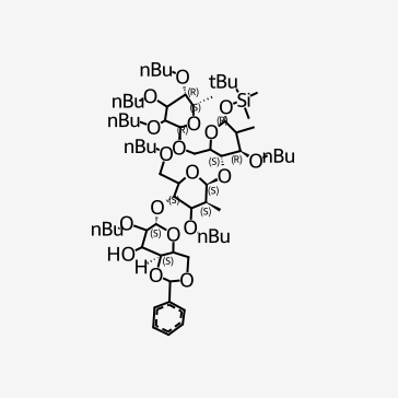 CCCCOCC1O[C@@H](O[C@@H]2C(CO[C@@H]3O[C@@H](C)[C@@H](OCCCC)C(OCCCC)C3OCCCC)O[C@H](O[Si](C)(C)C(C)(C)C)C(C)[C@H]2OCCCC)[C@@H](C)C(OCCCC)[C@@H]1O[C@@H]1OC2COC(c3ccccc3)O[C@H]2C(O)C1OCCCC